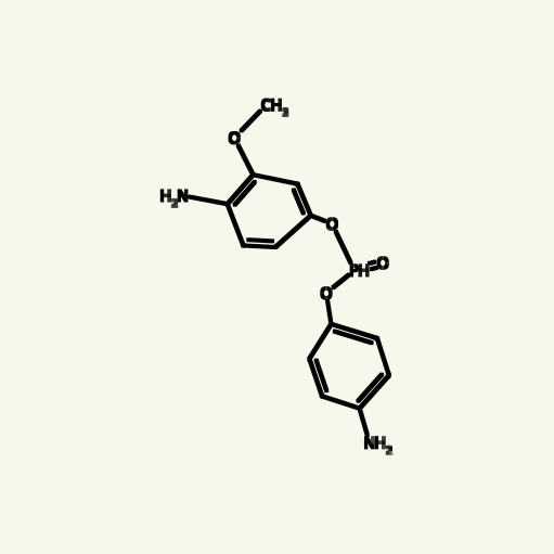 COc1cc(O[PH](=O)Oc2ccc(N)cc2)ccc1N